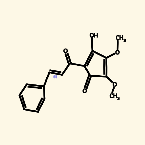 COC1=C(OC)C(O)=C(C(=O)/C=C/c2ccccc2)C1=O